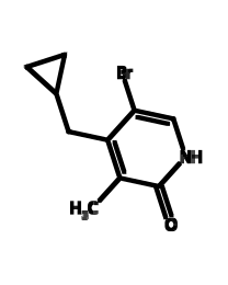 Cc1c(CC2CC2)c(Br)c[nH]c1=O